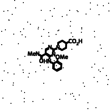 CNC(=O)c1cnc(N2CCC(C(=O)O)CC2)nc1Nc1ccccc1OC